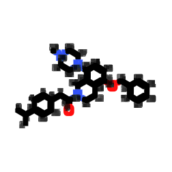 CC(C)c1ccc(CC(=O)N2CCc3c(OCc4ccccc4)ccc(N4CCN(C)CC4)c3C2)cc1